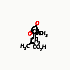 CC(C=CC12OC1(C)CC(=O)CC2(C)C)=CC(=O)O